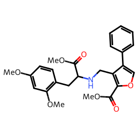 COC(=O)c1occ(-c2ccccc2)c1CNC(Cc1ccc(OC)cc1OC)C(=O)OC